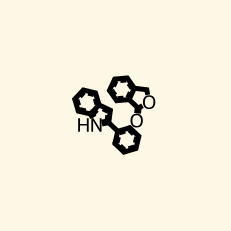 O=C1OCc2ccccc21.c1ccc(-c2cc3ccccc3[nH]2)cc1